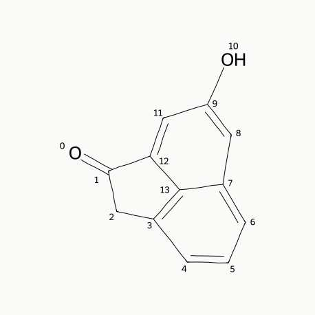 O=C1Cc2cccc3cc(O)cc1c23